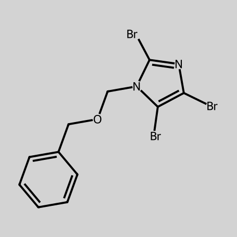 Brc1nc(Br)n(COCc2ccccc2)c1Br